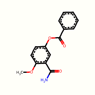 COc1ccc(OC(=O)c2ccccc2)cc1C(N)=O